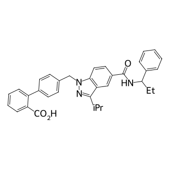 CCC(NC(=O)c1ccc2c(c1)c(C(C)C)nn2Cc1ccc(-c2ccccc2C(=O)O)cc1)c1ccccc1